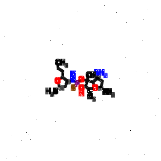 B[C@H]1C[C@@H](NP(O)(=S)OC(C)(CC)C2O[C@@H](B)C[C@H]2N)C(CCC)O1